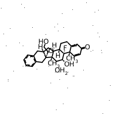 C[C@]12C=CC(=O)C=C1CC[C@H]1[C@@H]3C[C@H]4Cc5ccccc5C[C@@]4(C(=O)CO)[C@@]3(C)C[C@H](O)[C@@]12F.O